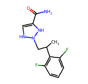 CC(CN1NC=C(C(N)=O)N1)c1c(F)cccc1F